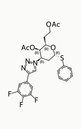 CC(=O)OCC[C@H]1O[C@H](Sc2ccccc2)C[C@@H](n2cc(-c3cc(F)c(F)c(F)c3)nn2)[C@H]1OC(C)=O